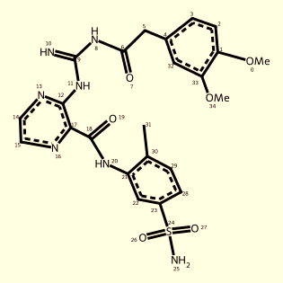 COc1ccc(CC(=O)NC(=N)Nc2nccnc2C(=O)Nc2cc(S(N)(=O)=O)ccc2C)cc1OC